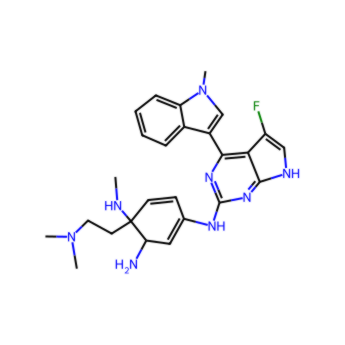 CNC1(CCN(C)C)C=CC(Nc2nc(-c3cn(C)c4ccccc34)c3c(F)c[nH]c3n2)=CC1N